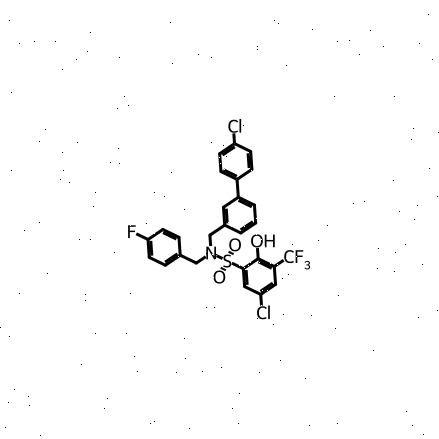 O=S(=O)(c1cc(Cl)cc(C(F)(F)F)c1O)N(Cc1ccc(F)cc1)Cc1cccc(-c2ccc(Cl)cc2)c1